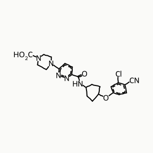 N#Cc1ccc(OC2CCC(NC(=O)c3ccc(N4CCN(C(=O)O)CC4)nn3)CC2)cc1Cl